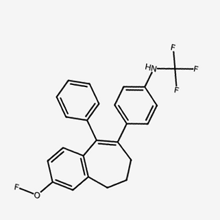 FOc1ccc2c(c1)CCCC(c1ccc(NC(F)(F)F)cc1)=C2c1ccccc1